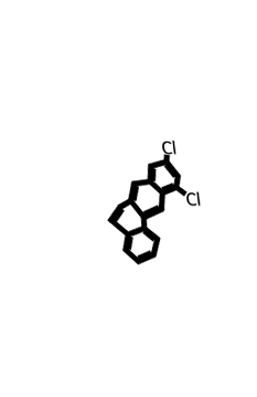 Clc1cc(Cl)c2cc3c(ccc4ccccc43)cc2c1